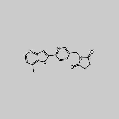 Cc1ccnc2cc(-c3ccc(CN4C(=O)CCC4=O)cn3)sc12